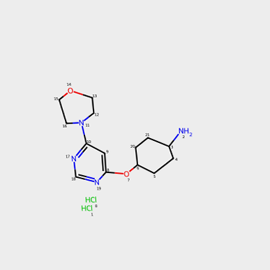 Cl.Cl.NC1CCC(Oc2cc(N3CCOCC3)ncn2)CC1